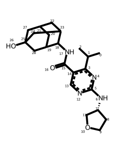 CC(C)c1nc(N[C@@H]2CCOC2)ncc1C(=O)NC1C2CC3CC1CC(O)(C3)C2